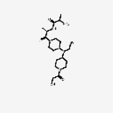 CC(C)CN(C1CCN(C(=O)CO)CC1)N1CCN(C(=O)[C@@H](C)NC(=O)C(C)N)CC1